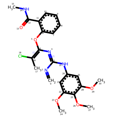 C=N/C(=N\C(Oc1ccccc1C(=O)NC)=C(/C)Cl)Nc1cc(OC)c(OC)c(OC)c1